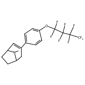 CN1C2C=C(c3ccc(OC(F)(F)C(F)(F)C(F)(F)C(F)(F)F)cc3)CC1CC2